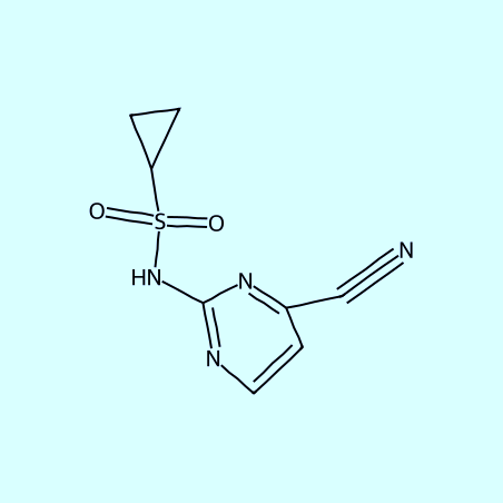 N#Cc1ccnc(NS(=O)(=O)C2CC2)n1